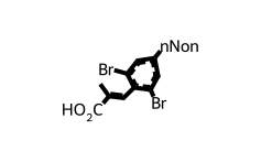 CCCCCCCCCc1cc(Br)c(C=C(C)C(=O)O)c(Br)c1